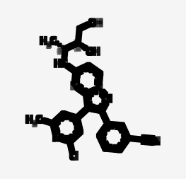 Cc1cc(-c2c(-c3cccc(C#N)c3)nn3ccc(N[C@H](C)[C@H](O)CO)nc23)cc(Cl)n1